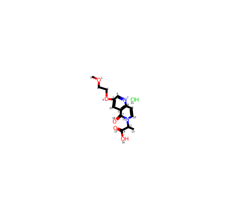 COCCOc1cnc2ccn(C(C)C(=O)O)c(=O)c2c1.Cl